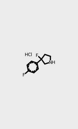 Cl.Fc1ccc(C2(F)CCNC2)cc1